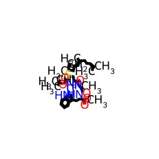 C=CC(C)(CC/C=C(\C)CCC=C(C)C)SCC(NC(=O)OC(C)(C)C)C(=O)N[C@@H](C)C(=O)NC(Cc1c[nH]c2ccccc12)C(=O)OC